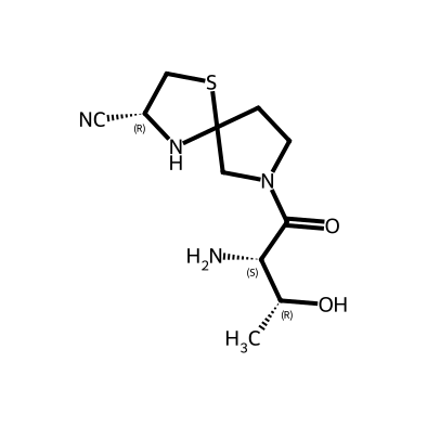 C[C@@H](O)[C@H](N)C(=O)N1CCC2(C1)N[C@H](C#N)CS2